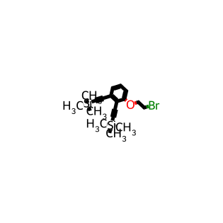 C[Si](C)(C)C#Cc1cccc(OCCBr)c1C#C[Si](C)(C)C